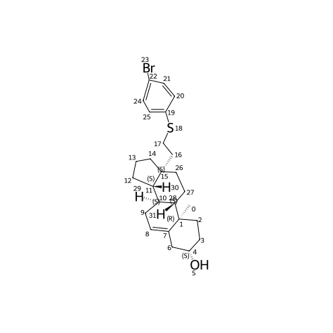 C[C@]12CC[C@H](O)CC1=CC[C@H]1[C@@H]3CCC[C@@]3(CCSc3ccc(Br)cc3)CC[C@@H]12